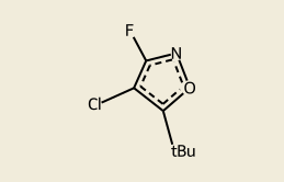 CC(C)(C)c1onc(F)c1Cl